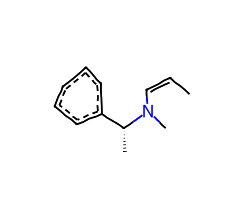 C/C=C\N(C)[C@H](C)c1ccccc1